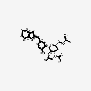 CC(=O)OC[C@@H]1C[C@H](OC(C)=O)[C@@H](OC(C)=O)[C@H](c2cc(Cc3cc4ccccc4s3)ccc2O)O1